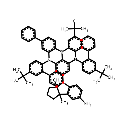 CC(C)(C)c1ccc2c(c1)B1c3ccc(-c4ccccc4)cc3N(c3ccc(C(C)(C)C)cc3-c3ccccc3)c3cc(N4c5ccc(N)cc5C5(C)CCCC45C)cc(c31)N2c1ccc(C(C)(C)C)cc1-c1ccccc1